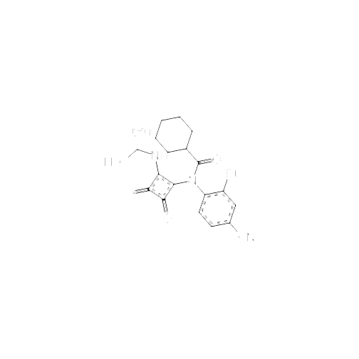 CCc1cc(C#N)ccc1N(C(=O)C1CCCCC1)c1c(N[C@H](C)C(C)(C)C)c(=O)c1=O